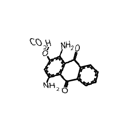 Nc1cc(OC(=O)O)c(N)c2c1C(=O)c1ccccc1C2=O